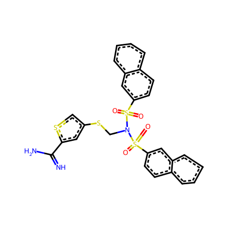 N=C(N)c1cc(SCN(S(=O)(=O)c2ccc3ccccc3c2)S(=O)(=O)c2ccc3ccccc3c2)cs1